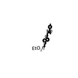 CCOC(=O)CCCN1CCCc2c(OCCc3nc(-c4ccc(C)cc4)oc3C)cccc21